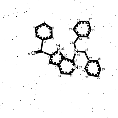 O=C(c1ccccc1)c1cc2ccnc(N(Cc3ccccc3)Cc3ccccc3)c2[nH]1